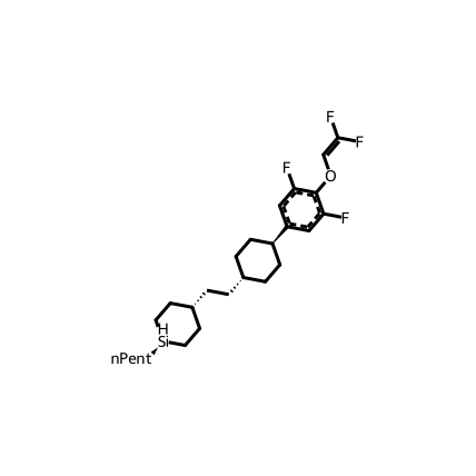 CCCCC[Si@H]1CC[C@H](CC[C@H]2CC[C@H](c3cc(F)c(OC=C(F)F)c(F)c3)CC2)CC1